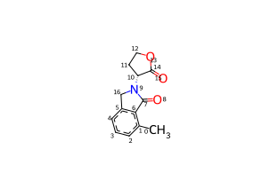 Cc1cccc2c1C(=O)N([C@@H]1CCOC1=O)C2